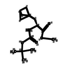 COC(=O)[C@@H](CC12CC(C1)C2)NC(=O)OC(C)(C)C